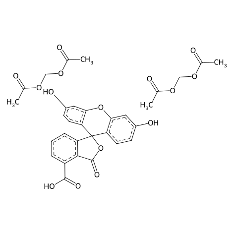 CC(=O)OCOC(C)=O.CC(=O)OCOC(C)=O.O=C(O)c1cccc2c1C(=O)OC21c2ccc(O)cc2Oc2cc(O)ccc21